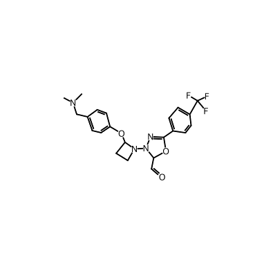 CN(C)Cc1ccc(OC2CCN2N2N=C(c3ccc(C(F)(F)F)cc3)OC2C=O)cc1